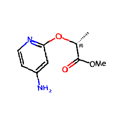 COC(=O)[C@@H](C)Oc1cc(N)ccn1